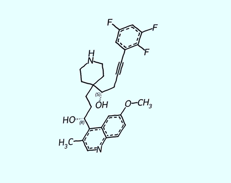 COc1ccc2ncc(C)c([C@H](O)CCC3([C@@H](O)CC#Cc4cc(F)cc(F)c4F)CCNCC3)c2c1